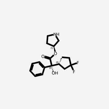 O=C(O[C@H]1CCNC1)[C@](O)(c1ccccc1)[C@@H]1CCC(F)(F)C1